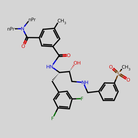 CCCN(CCC)C(=O)c1cc(C)cc(C(=O)N[C@@H](Cc2cc(F)cc(F)c2)[C@H](O)CNCc2cccc(S(C)(=O)=O)c2)c1